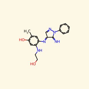 Cc1cc(N=C2C=NN(c3ccccc3)C2=N)c(NCCO)cc1O